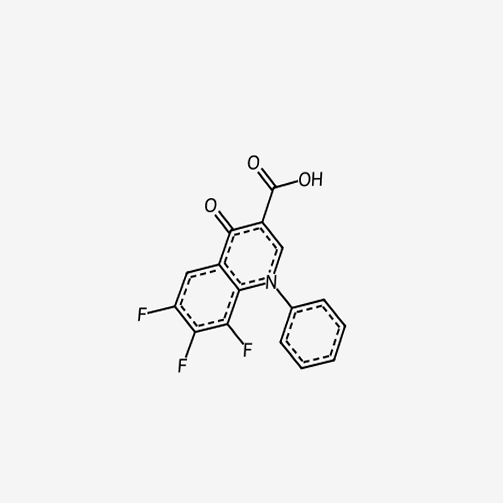 O=C(O)c1cn(-c2ccccc2)c2c(F)c(F)c(F)cc2c1=O